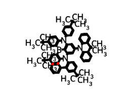 CC(C)(C)c1ccc(N2c3ccc(C(C)(C)C)cc3B3c4cc(C(C)(C)C)ccc4N(c4ccc(C(C)(C)C)cc4-c4ccccc4)c4cc(N5c6ccccc6C(C)(C)c6ccccc65)cc2c43)cc1